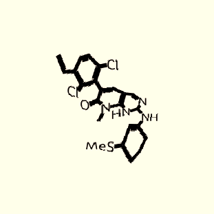 C=Cc1ccc(Cl)c(-c2cc3c(n(C)c2=O)NC(NC2=CC(SC)CCC2)N=C3)c1Cl